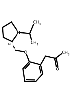 CC(=O)Cc1ccccc1OC[C@@H]1CCCN1C(C)C